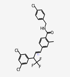 Cc1cc(/C=C/C(c2cc(Cl)cc(Cl)c2)C(F)(F)F)ccc1C(=O)NCc1ccc(Cl)cc1